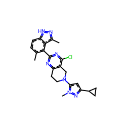 Cc1ccc2[nH]nc(C)c2c1-c1nc(Cl)c2c(n1)CCN(c1cc(C3CC3)nn1C)C2